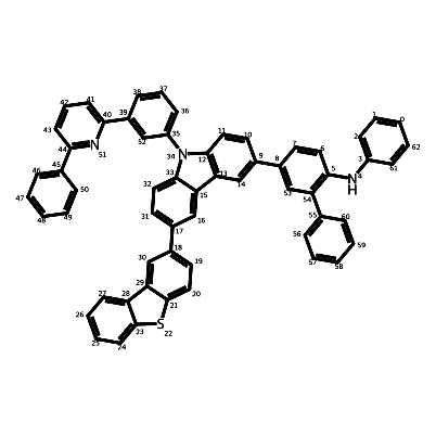 c1ccc(Nc2ccc(-c3ccc4c(c3)c3cc(-c5ccc6sc7ccccc7c6c5)ccc3n4-c3cccc(-c4cccc(-c5ccccc5)n4)c3)cc2-c2ccccc2)cc1